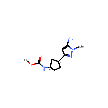 CC(C)OC(=O)N[C@@H]1CC[C@H](c2cc(N)n(C(C)(C)C)n2)C1